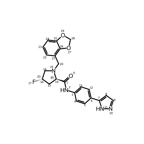 O=C(Nc1ccc(-c2ccn[nH]2)cc1)[C@H]1C[C@H](F)CN1Cc1cccc2c1OCO2